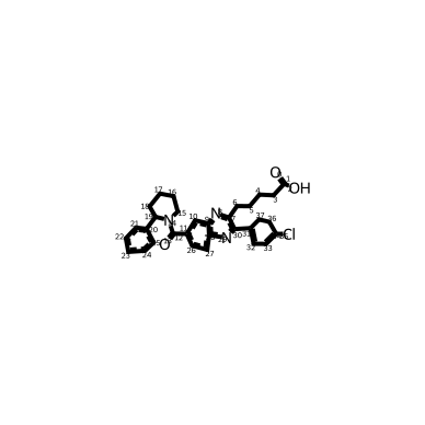 O=C(O)CCCCc1nc2cc(C(=O)N3CCCCC3c3ccccc3)ccc2nc1C1=CC=C(Cl)CC1